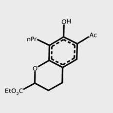 CCCc1c(O)c(C(C)=O)cc2c1OC(C(=O)OCC)CC2